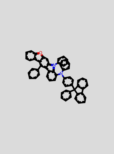 c1ccc(-c2c3c(cc4c2c2cccc(N(c5ccccc5)c5ccc(C6(c7ccccc7)c7ccccc7-c7ccccc76)cc5)c2n4-c2ccccc2)oc2ccccc23)cc1